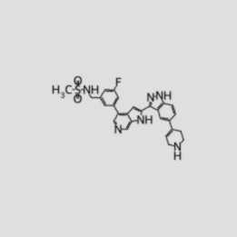 CS(=O)(=O)NCc1cc(F)cc(-c2cncc3[nH]c(-c4n[nH]c5ccc(C6=CCNCC6)cc45)cc23)c1